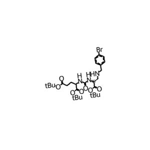 CC(C)(C)OC(=O)CCC(NC(=O)N[C@@H](CNCc1ccc(Br)cc1)C(=O)OC(C)(C)C)C(=O)OC(C)(C)C